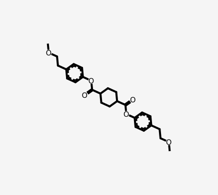 COCCc1ccc(OC(=O)C2CCC(C(=O)Oc3ccc(CCOC)cc3)CC2)cc1